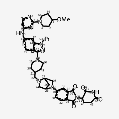 COC1CCN(c2nccc(Nc3cc4c(cn3)c(N3CCC(CN5CC6CC5CN6c5ccc6c(c5)C(=O)N(C5CCC(=O)NC5=O)C6=O)CC3)nn4C(C)C)n2)CC1